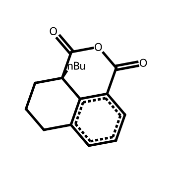 CCCCC12CCCc3cccc(c31)C(=O)OC2=O